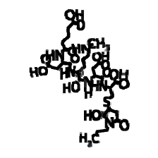 CCCN1C(=O)CC(SCC(NC(=O)C(CC(=O)O)NC(O)[C@H](CCCNC)NC(=O)C(CC(=O)O)NC(=O)CCCC(=O)O)C(=O)O)[C@@H]1O